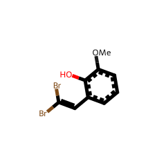 COc1cccc(C=C(Br)Br)c1O